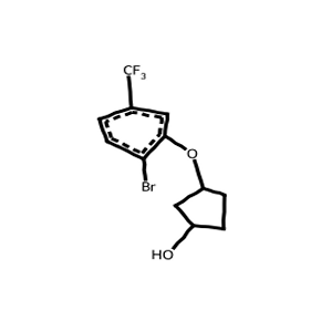 OC1CCC(Oc2cc(C(F)(F)F)ccc2Br)C1